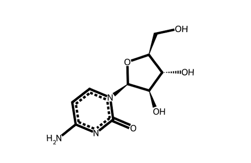 Nc1ccn([C@H]2O[C@@H](CO)[C@H](O)[C@H]2O)c(=O)n1